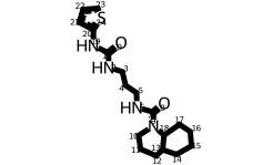 O=C(NCCCNC(=O)N1CCCC2CCCCC21)Nc1cccs1